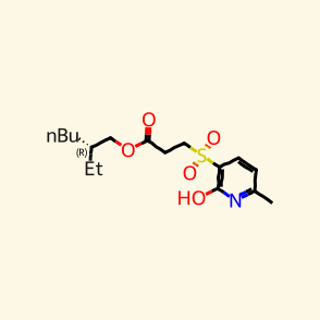 CCCC[C@@H](CC)COC(=O)CCS(=O)(=O)c1ccc(C)nc1O